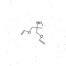 C=COCC(C)(N)COC=C